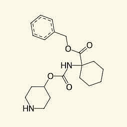 O=C(NC1(C(=O)OCc2ccccc2)CCCCC1)OC1CCNCC1